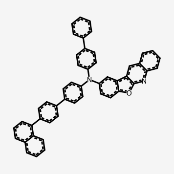 c1ccc(-c2ccc(N(c3ccc(-c4ccc(-c5cccc6ccccc56)cc4)cc3)c3ccc4oc5nc6ccccc6cc5c4c3)cc2)cc1